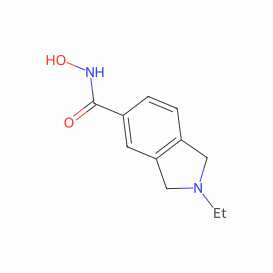 CCN1Cc2ccc(C(=O)NO)cc2C1